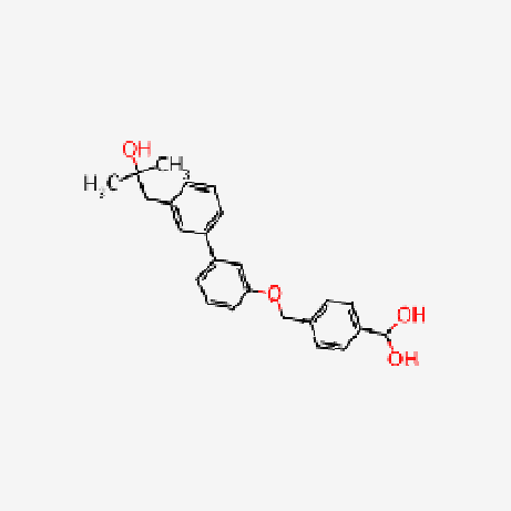 CC(C)(O)Cc1cccc(-c2cccc(OCc3ccc(C(O)O)cc3)c2)c1